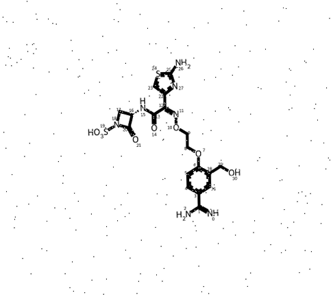 N=C(N)c1ccc(OCCO/N=C(\C(=O)N[C@H]2CN(S(=O)(=O)O)C2=O)c2csc(N)n2)c(CO)c1